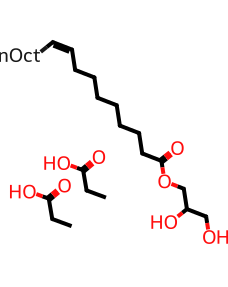 CCC(=O)O.CCC(=O)O.CCCCCCCC/C=C\CCCCCCCC(=O)OCC(O)CO